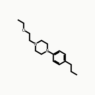 CCCc1ccc(N2CCN(CCOCC)CC2)cc1